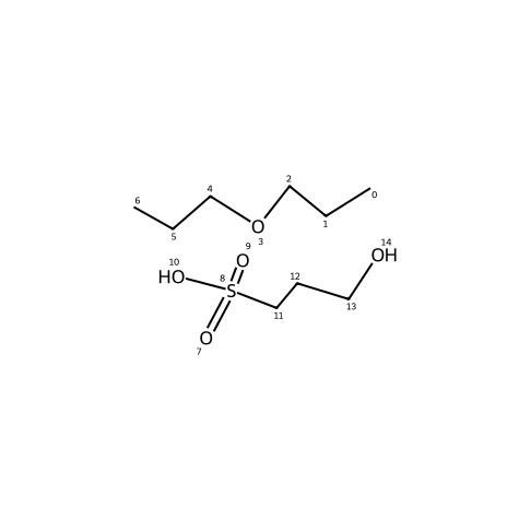 CCCOCCC.O=S(=O)(O)CCCO